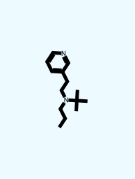 CCCN(CCc1cccnc1)C(C)(C)C